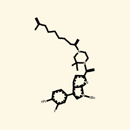 C=C(C)CCCCCCC(=C)N1CCN(C(=C)c2ccc3c(-c4ccc(CCC)c(F)c4)cn(C(C)(C)C)c3n2)C(C)(C)C1